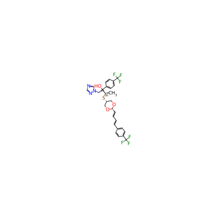 C[C@@H](S[C@H]1CO[C@H](C=CC=Cc2ccc(C(F)(F)F)cc2)OC1)[C@](O)(Cn1cncn1)c1ccc(C(F)(F)F)cc1